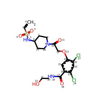 C=CS(=O)(=O)NC1CCN(C(=O)COc2cc(C(=O)NCCO)c(Cl)cc2Cl)CC1